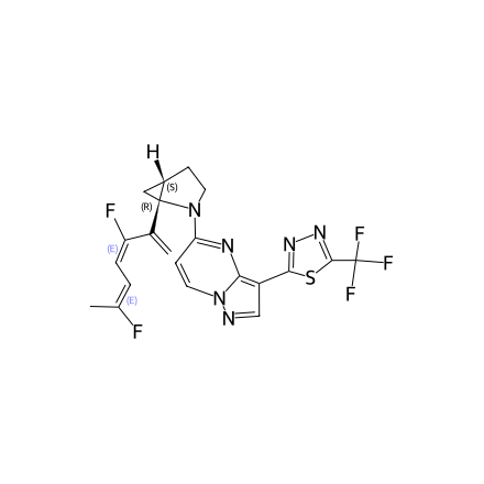 C=C(/C(F)=C\C=C(/C)F)[C@@]12C[C@@H]1CCN2c1ccn2ncc(-c3nnc(C(F)(F)F)s3)c2n1